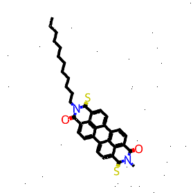 CCCCCCCCCCCCN1C(=O)c2ccc3c4ccc5c6c(ccc(c7ccc(c2c37)C1=S)c64)C(=O)N(C)C5=S